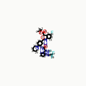 CC(C)(C)OC(=O)Cc1cc(F)ccc1NC(=O)c1ccc(N2CCCCC2)c(NC(=O)c2nn(CC(F)(F)F)c3c2CCC3)c1